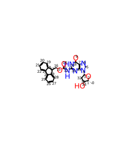 C[C@H]1O[C@@H](n2cnc3c(=O)[nH]c(NC(=O)OCC4c5ccccc5-c5ccccc54)nc32)CC1O